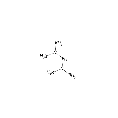 BN(B)BN(B)B